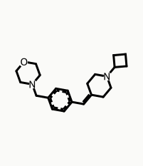 C(=C1CCN(C2CCC2)CC1)c1ccc(CN2CCOCC2)cc1